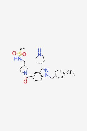 C=CS(=O)(=O)NCC1CCN(C(=O)c2ccc3c(c2)c(C2CCNCC2)nn3Cc2ccc(C(F)(F)F)cc2)C1